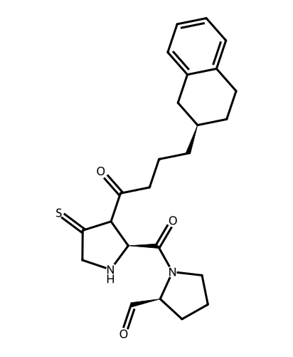 O=C[C@@H]1CCCN1C(=O)[C@H]1NCC(=S)C1C(=O)CCC[C@@H]1CCc2ccccc2C1